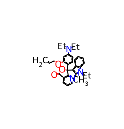 C=CCOc1cc(N(CC)CC)ccc1C1(c2c(C)n(CC)c3ccccc23)OC(=O)c2cccnc21